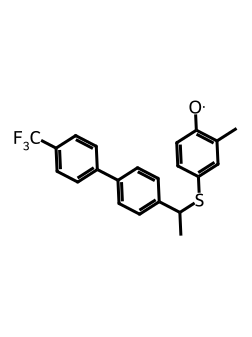 Cc1cc(SC(C)c2ccc(-c3ccc(C(F)(F)F)cc3)cc2)ccc1[O]